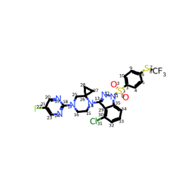 O=S(=O)(c1ccc(SC(F)(F)F)cc1)n1nc(N2CCN(c3ncc(F)cn3)CC23CC3)c2c(Cl)cccc21